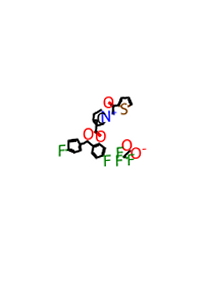 O=C(C[N+]12CCC(CC1)C(C(=O)OC(c1ccc(F)cc1)c1ccc(F)cc1)C2)c1cccs1.O=C([O-])C(F)(F)F